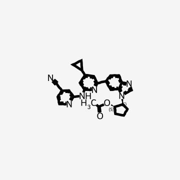 CC(=O)O[C@H]1CCC[C@@H]1n1cnc2ccc(-c3cc(C4CC4)cc(Nc4cc(C#N)ccn4)n3)cc21